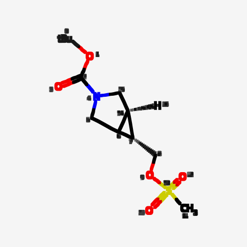 CC(C)(C)OC(=O)N1CC2[C@@H](COS(C)(=O)=O)[C@@H]2C1